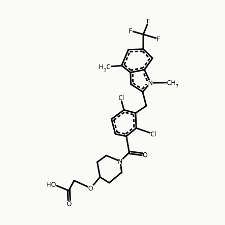 Cc1cc(C(F)(F)F)cc2c1cc(Cc1c(Cl)ccc(C(=O)N3CCC(OCC(=O)O)CC3)c1Cl)n2C